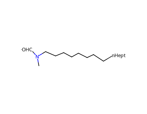 CCCCCCCCCCCCCCCN(C)[C]=O